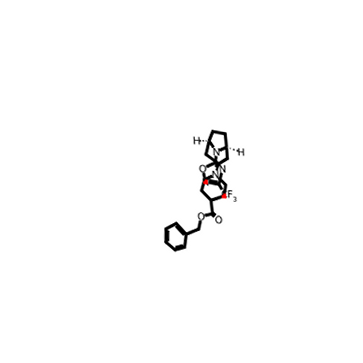 O=C(OCc1ccccc1)C1CCN([C@H]2C[C@H]3CC[C@@H](C2)N3c2nc(C(F)(F)F)no2)CC1